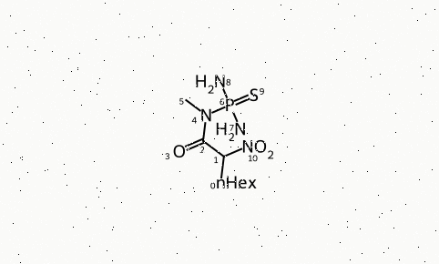 CCCCCCC(C(=O)N(C)P(N)(N)=S)[N+](=O)[O-]